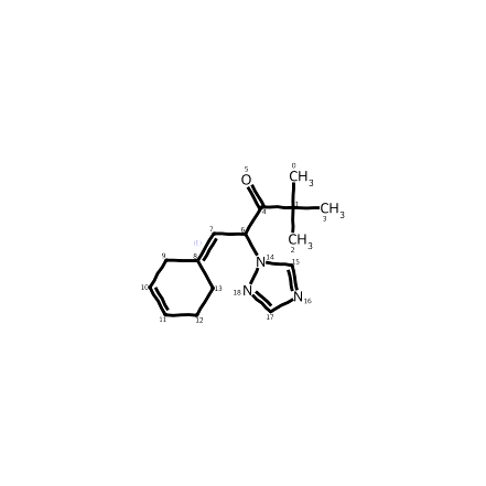 CC(C)(C)C(=O)C(/C=C1/CC=CCC1)n1cncn1